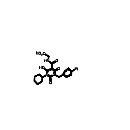 CCc1ccc(Cn2c(=O)c(C(=O)NCC(=O)O)c(O)n(C3CCCCC3)c2=O)cc1